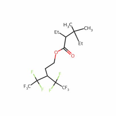 CCC(C(=O)OCCC(C(F)(F)C(F)(F)F)C(F)(F)C(F)(F)F)C(C)(C)CC